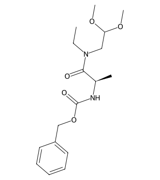 CCN(CC(OC)OC)C(=O)[C@@H](C)NC(=O)OCc1ccccc1